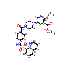 COC(=O)c1cc(N2CCN(C(=O)c3ccc(NS(=O)(=O)c4cccc5cccnc45)cc3)CC2)cnc1OC